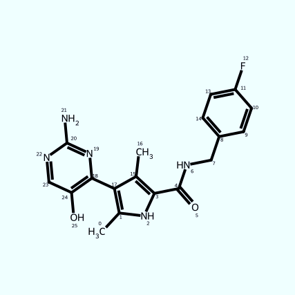 Cc1[nH]c(C(=O)NCc2ccc(F)cc2)c(C)c1-c1nc(N)ncc1O